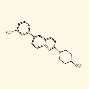 O=C(O)C1CCN(c2ccc3cc(-c4cccc(C(F)(F)F)c4)ccc3n2)CC1